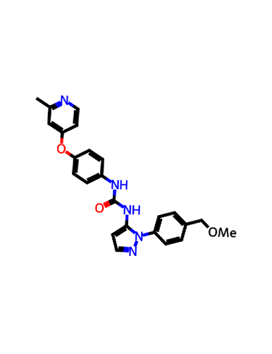 COCc1ccc(-n2nccc2NC(=O)Nc2ccc(Oc3ccnc(C)c3)cc2)cc1